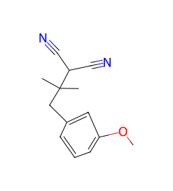 COc1cccc(CC(C)(C)C(C#N)C#N)c1